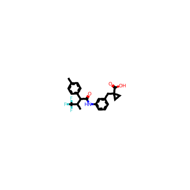 Cc1ccc(C(C(=O)Nc2cccc(CC3(C(=O)O)CC3)c2)C(C)C(F)(F)F)cc1